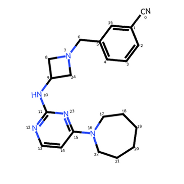 N#Cc1cccc(CN2CC(Nc3nccc(N4CCCCCC4)n3)C2)c1